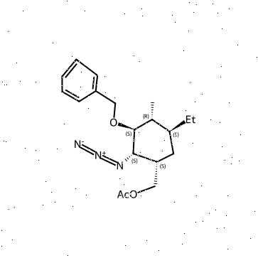 CC[C@H]1C[C@H](COC(C)=O)[C@H](N=[N+]=[N-])[C@@H](OCc2ccccc2)[C@@H]1C